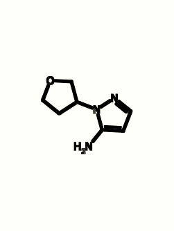 Nc1ccnn1C1CCOC1